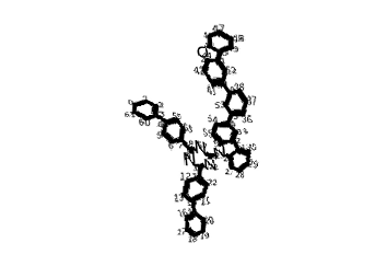 c1ccc(-c2ccc(-c3nc(-c4ccc(-c5ccccc5)cc4)nc(-n4c5ccccc5c5cc(-c6cccc(-c7ccc8oc9ccccc9c8c7)c6)ccc54)n3)cc2)cc1